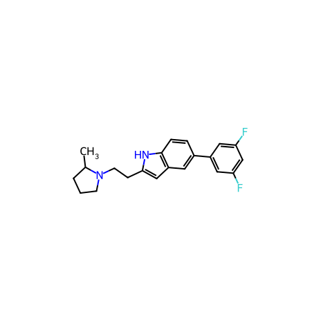 CC1CCCN1CCc1cc2cc(-c3cc(F)cc(F)c3)ccc2[nH]1